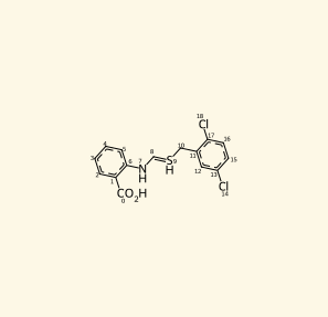 O=C(O)c1ccccc1NC=[SH]Cc1cc(Cl)ccc1Cl